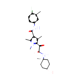 Cc1cc(NC(=O)c2c(C)c(C(=O)C(=O)N[C@]3(C)CC[C@H](O)CC3)n(C)c2C)ccc1F